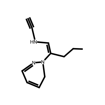 C#CN/C=C(/CCC)N1CC=CC=N1